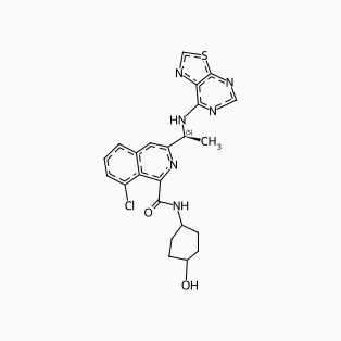 C[C@H](Nc1ncnc2scnc12)c1cc2cccc(Cl)c2c(C(=O)NC2CCC(O)CC2)n1